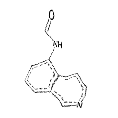 O=CNc1cccc2cnccc12